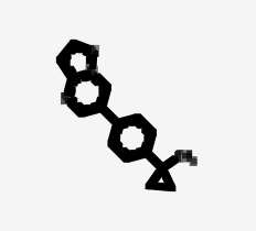 CC1(c2ccc(-c3cnc4ccnn4c3)cc2)CC1